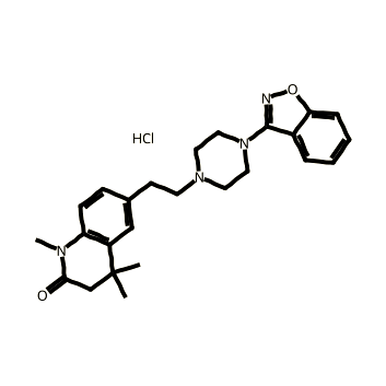 CN1C(=O)CC(C)(C)c2cc(CCN3CCN(c4noc5ccccc45)CC3)ccc21.Cl